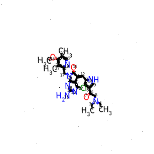 CCN(CC)CC(=O)c1c[nH]c(/C=C2/C(=O)N(Cc3ncc(C)c(OC)c3C)c3nc(N)nc(Cl)c32)c1